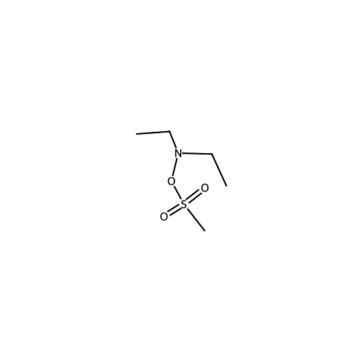 CCN(CC)OS(C)(=O)=O